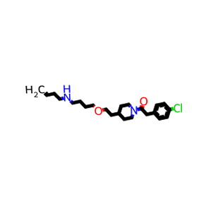 C=CCCNCCCCOCCC1CCN(C(=O)Cc2ccc(Cl)cc2)CC1